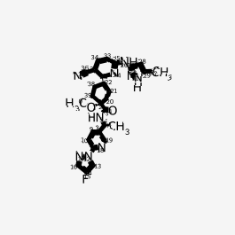 CO[C@]1(C(=O)N[C@@H](C)c2ccc(-n3cc(F)cn3)nc2)CC[C@@H](C2N=C(Nc3cc(C)[nH]n3)C=CC2C#N)CC1